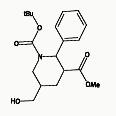 COC(=O)C1CC(CO)CN(C(=O)OC(C)(C)C)C1c1ccccc1